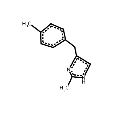 Cc1ccc(Cc2c[nH]c(C)n2)cc1